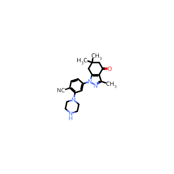 Cc1nn(-c2ccc(C#N)c(N3CCNCC3)c2)c2c1C(=O)CC(C)(C)C2